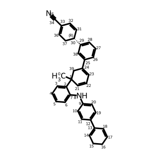 CC1(c2ccccc2Nc2ccc(C3=CCCC=C3)cc2)C=CC=C(c2cccc([C@H]3C=CC(C#N)=CC3)c2)C1